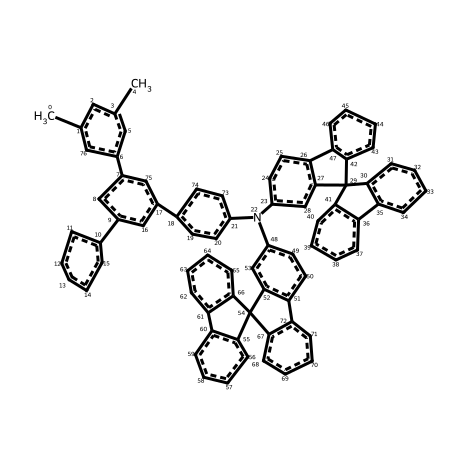 Cc1cc(C)cc(-c2cc(-c3ccccc3)cc(-c3ccc(N(c4ccc5c(c4)C4(c6ccccc6-c6ccccc64)c4ccccc4-5)c4ccc5c(c4)C4(c6ccccc6-c6ccccc64)c4ccccc4-5)cc3)c2)c1